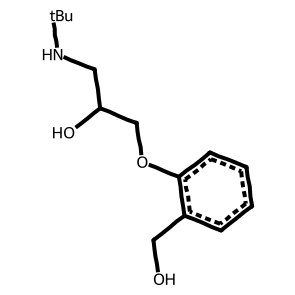 CC(C)(C)NCC(O)COc1ccccc1CO